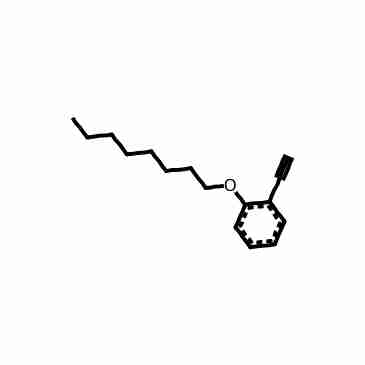 C#Cc1ccccc1OCCCCCCCC